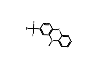 CN1c2ccccc2Sc2ccc(C(F)(F)F)cc21